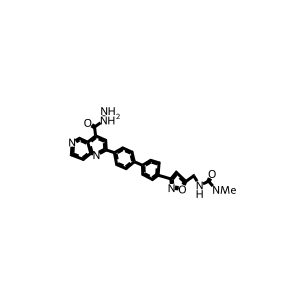 CNC(=O)NCc1cc(-c2ccc(-c3ccc(-c4cc(C(=O)NN)c5cnccc5n4)cc3)cc2)no1